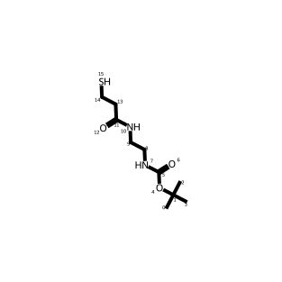 CC(C)(C)OC(=O)NCCNC(=O)CCS